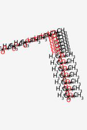 CCO.CCO.CCO.CCO.CCO.CCO.CCO.CCO.CCO.CCO.CCOC(C)=O.CCOC(C)=O.CCOC(C)=O.CCOC(C)=O.CCOC(C)=O.CCOC(C)=O.CCOC(C)=O.CCOC(C)=O.CCOC(C)=O.CCOC(C)=O